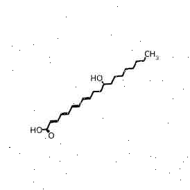 CCCCCCCC[C@H](O)CC/C=C/C=C/C=C/C=C/C(=O)O